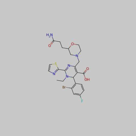 CCN1C(c2nccs2)=NC(CN2CCOC(CCC(N)=O)C2)=C(C(=O)O)C1c1ccc(F)cc1Br